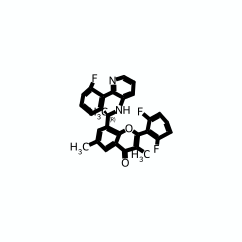 Cc1cc([C@@H](C)Nc2cccnc2-c2ccccc2F)c2oc(-c3c(F)cccc3F)c(C)c(=O)c2c1